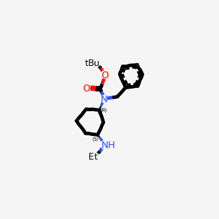 CCN[C@H]1CCC[C@@H](N(Cc2ccccc2)C(=O)OC(C)(C)C)C1